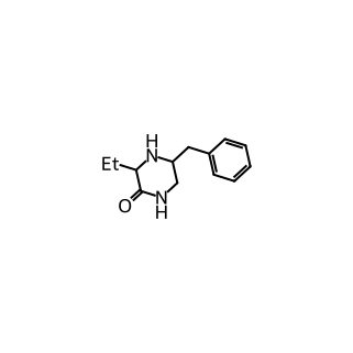 CCC1NC(Cc2ccccc2)CNC1=O